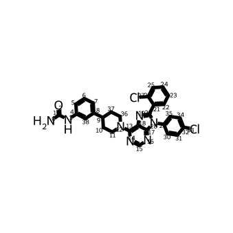 NC(=O)Nc1cccc(C2CCN(c3ncnc4c3nc(-c3ccccc3Cl)n4-c3ccc(Cl)cc3)CC2)c1